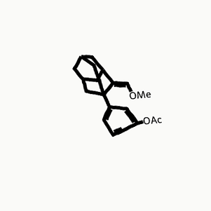 COC=C1C2CC3CC(C2)CC1(c1cccc(OC(C)=O)c1)C3